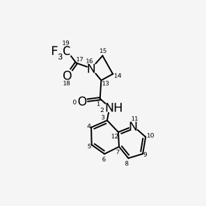 O=C(Nc1cccc2cccnc12)C1CCN1C(=O)C(F)(F)F